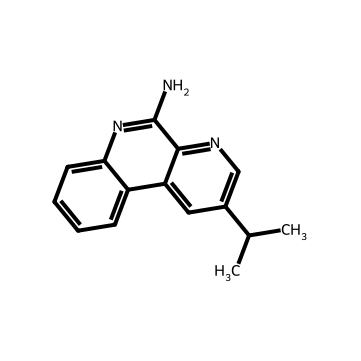 CC(C)c1cnc2c(N)nc3ccccc3c2c1